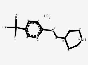 Cl.FC(F)(F)c1ccc(OCC2CCNCC2)nc1